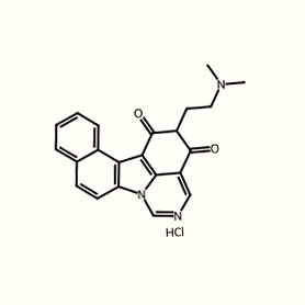 CN(C)CCC1C(=O)c2cncn3c2c(c2c4ccccc4ccc23)C1=O.Cl